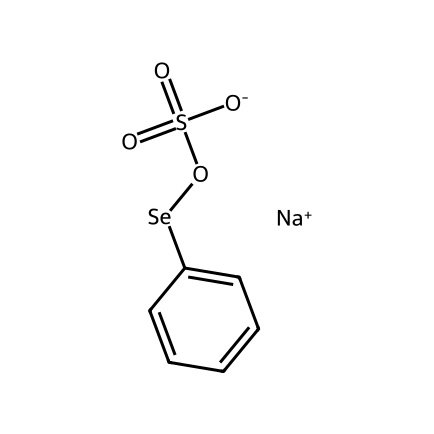 O=S(=O)([O-])O[Se]c1ccccc1.[Na+]